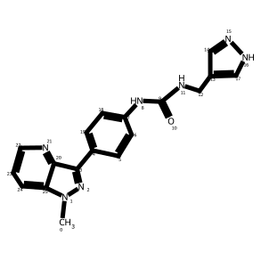 Cn1nc(-c2ccc(NC(=O)NCc3cn[nH]c3)cc2)c2ncccc21